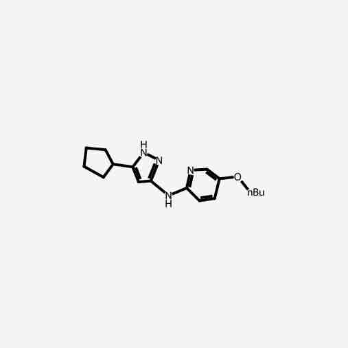 CCCCOc1ccc(Nc2cc(C3CCCC3)[nH]n2)nc1